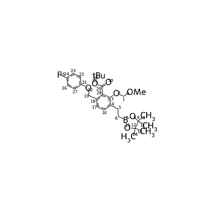 COCOc1c(CCB2OC(C)(C)C(C)(C)O2)ccc(COc2ccc(F)cc2)c1C(=O)OC(C)(C)C